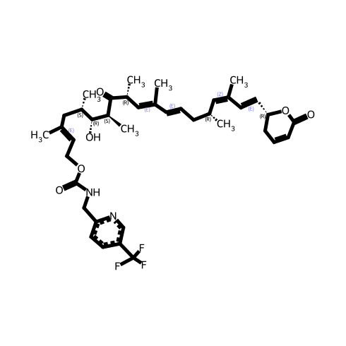 CC(=C/[C@H](C)C/C=C/C(C)=C/[C@@H](C)C(=O)[C@@H](C)[C@H](O)[C@@H](C)C/C(C)=C/COC(=O)NCc1ccc(C(F)(F)F)cn1)/C=C/[C@H]1CC=CC(=O)O1